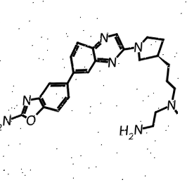 CN(CCN)CCC[C@@H]1CCN(c2cnc3ccc(-c4ccc5oc(N)nc5c4)cc3n2)C1